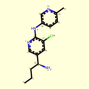 CCC[C@H](N)c1cnc(Nc2ccc(C)nc2)c(Cl)c1